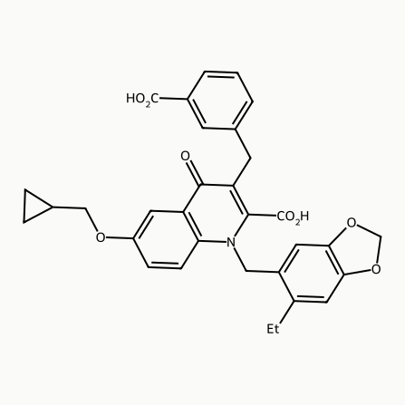 CCc1cc2c(cc1Cn1c(C(=O)O)c(Cc3cccc(C(=O)O)c3)c(=O)c3cc(OCC4CC4)ccc31)OCO2